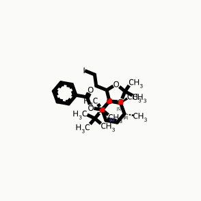 C[C@H](/C=C\C(OC(=O)c1ccccc1)C1OC(C)(C)OC1CCI)[C@H](C)O[Si](C)(C)C(C)(C)C